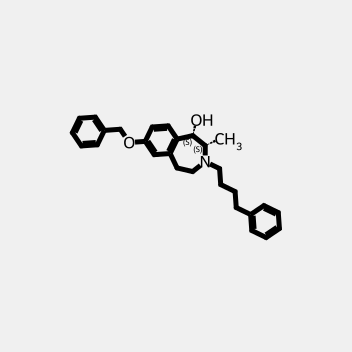 C[C@H]1[C@@H](O)c2ccc(OCc3ccccc3)cc2CCN1CCCCc1ccccc1